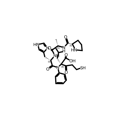 CC(C)C[C@](C(=O)O)(C(=O)CCS)N(C(=O)[C@H](Cc1c[nH]cn1)NC(=O)[C@H](C)NC(=O)[C@@H]1CCCN1)c1ccccc1